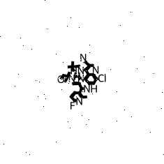 Cc1nc(F)ccc1C(Nc1cc(Cl)c2ncc(C#N)c(NCC(C)(C)C)c2c1)c1cn(C2(C)COC2)nn1